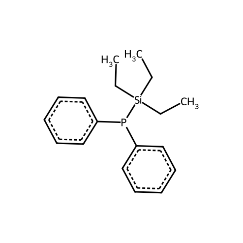 CC[Si](CC)(CC)P(c1ccccc1)c1ccccc1